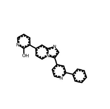 Oc1ncccc1-c1ccn2c(-c3ccnc(-c4ccccc4)c3)cnc2c1